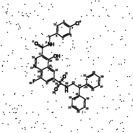 O=C(NCc1ccc(Cl)cc1)c1cnc2c(F)cc(S(=O)(=O)NCC(c3ccccc3)c3ccccc3)cc2c1O